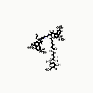 CCCN1/C(=C/C=C/C=C/C2=[N+](CCCCCC(=O)NCCNC(=O)NC3C(O)OC(CO)C(O)C3O)c3cc(S(=O)(=O)O)c4ccc(S(=O)(=O)O)cc4c3C2(C)C)C(C)(C)c2c1cc(S(=O)(=O)O)c1ccc(S(=O)(=O)O)cc21